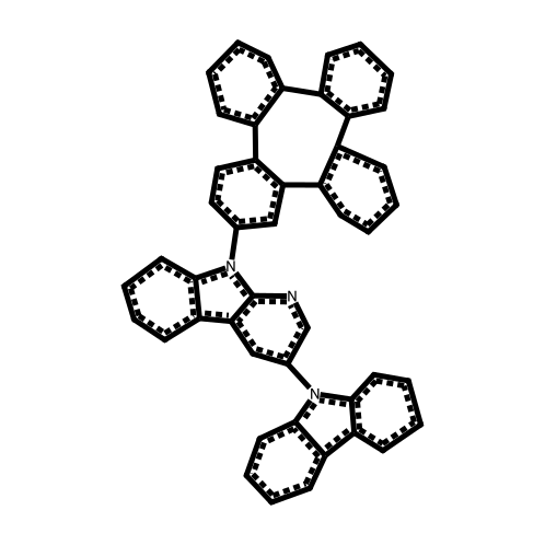 c1ccc2c(c1)-c1ccccc1-c1ccc(-n3c4ccccc4c4cc(-n5c6ccccc6c6ccccc65)cnc43)cc1-c1ccccc1-2